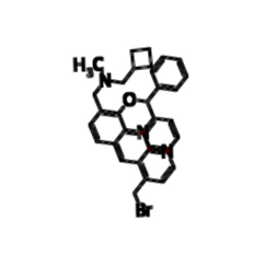 CN(Cc1ccc2cc3c(CBr)ccnc3nc2c1OC(c1ccccc1)c1ccccc1)CC1CCC1